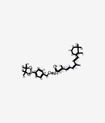 CC1=C(/C=C/C(C)=C\C=C\C(C)=C\C(=O)NOCc2ccc(B3OC(C)(C)C(C)(C)O3)cc2)CCCC1(C)C